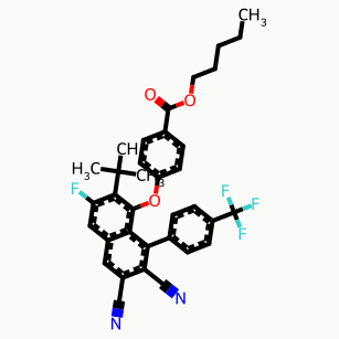 CCCCCOC(=O)c1ccc(Oc2c(C(C)(C)C)c(F)cc3cc(C#N)c(C#N)c(-c4ccc(C(F)(F)F)cc4)c23)cc1